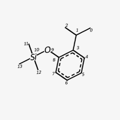 CC(C)c1ccccc1O[Si](C)(C)C